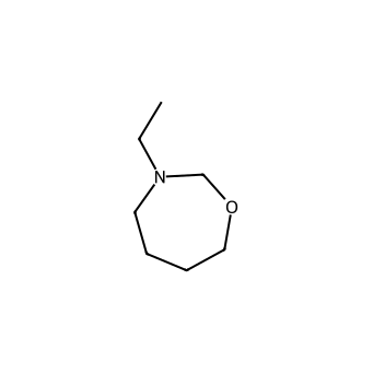 CCN1CCCCOC1